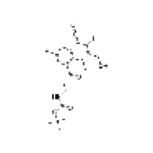 CN1C(CO)=C(I)C(=C=O)c2cc(F)cc(C(=O)CCNC(=O)OC(C)(C)C)c21